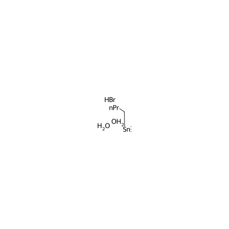 Br.CCC[CH2][Sn].O.O